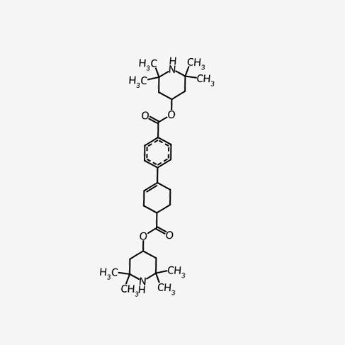 CC1(C)CC(OC(=O)c2ccc(C3=CCC(C(=O)OC4CC(C)(C)NC(C)(C)C4)CC3)cc2)CC(C)(C)N1